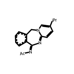 CC(=O)/N=C1/N=C2C=CC(C(C)C)=CN2Cc2ccccc21